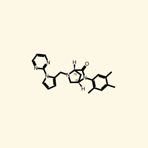 Cc1cc(C)c(N2C(=O)[C@@H]3C[C@H]2CN3Cc2cccn2-c2ncccn2)cc1C